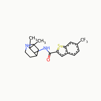 CC1(C)C(NC(=O)c2cc3ccc(C(F)(F)F)cc3s2)C2CCN1CC2